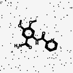 COc1cc(NC(=O)c2ccccn2)c(C(N)=O)cc1OC